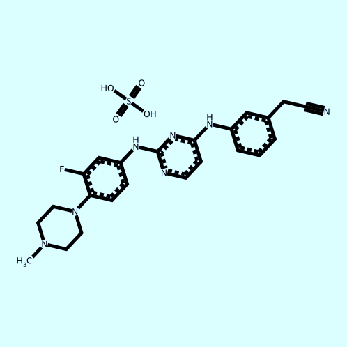 CN1CCN(c2ccc(Nc3nccc(Nc4cccc(CC#N)c4)n3)cc2F)CC1.O=S(=O)(O)O